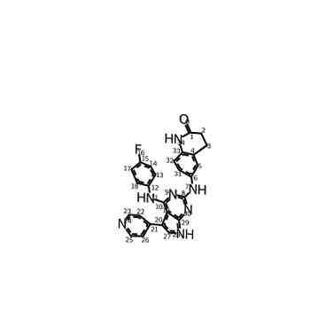 O=C1CCc2cc(Nc3nc(Nc4ccc(F)cc4)c4c(-c5ccncc5)c[nH]c4n3)ccc2N1